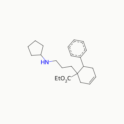 CCOC(=O)C1(CCCNC2CCCC2)CC=CCC1c1ccccc1